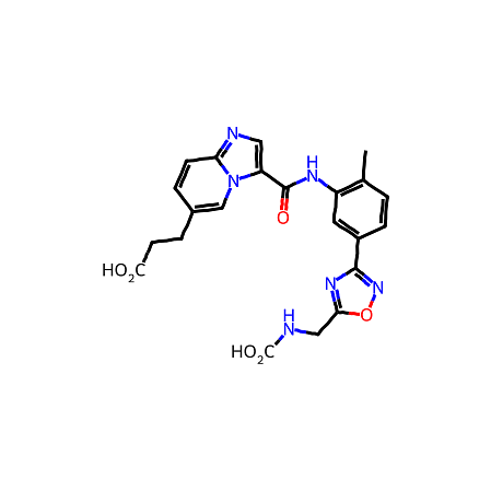 Cc1ccc(-c2noc(CNC(=O)O)n2)cc1NC(=O)c1cnc2ccc(CCC(=O)O)cn12